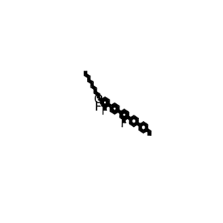 C=CC1CCC(C2CCC(c3ccc(-c4ccc(-c5ccc(OCCCCCCCCC)c(F)c5F)cc4)cc3F)CC2)CC1